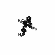 COc1ccc(Cn2nc(-c3cc(C)ccn3)c3c(NC4CCOCC4)nc(C)cc32)cc1